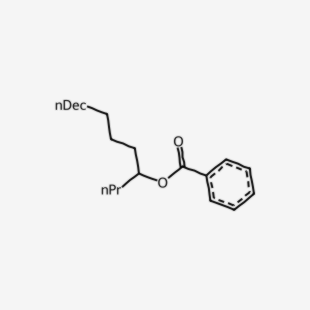 CCCCCCCCCCCCCC(CCC)OC(=O)c1ccccc1